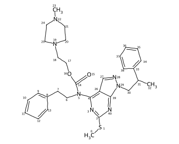 CSc1nc(N(CCc2ccccc2)C(=O)OCCN2CCN(C)CC2)c2cnn(CC(C)c3ccccc3)c2n1